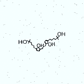 CC(C)(CO)CCCCC1=CC=C(CCCC2=CC=C(CCCCC(C)(C)CO)C2O)C1O